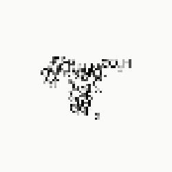 NS(=O)(=O)c1ccc(Cc2c(-c3ccc(F)c(C4=COCCC4)c3)nn(-c3nc(C(=O)O)cs3)c2CC2CC2)cc1F